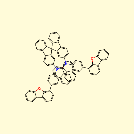 c1ccc2c(c1)-c1ccc(N(c3ccc(-c4cccc5c4oc4ccccc45)cc3)c3cccc4ccccc34)cc1C21c2ccccc2-c2ccc(N(c3ccc(-c4cccc5c4oc4ccccc45)cc3)c3cccc4ccccc34)cc21